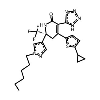 CCCCCCn1cc([C@]2(C(F)(F)F)CC(c3ccc(C4CC4)s3)=C(c3nnn[nH]3)C(=O)N2)cn1